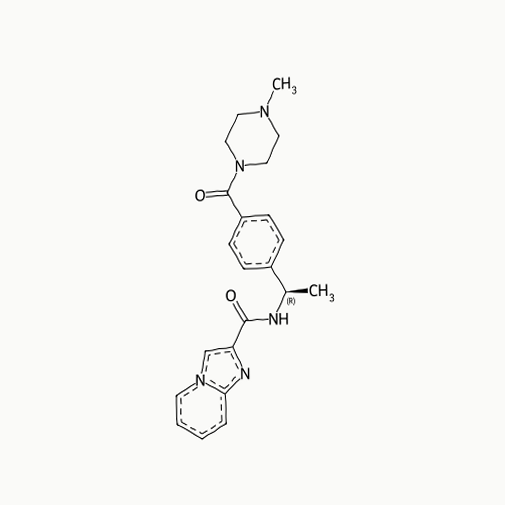 C[C@@H](NC(=O)c1cn2ccccc2n1)c1ccc(C(=O)N2CCN(C)CC2)cc1